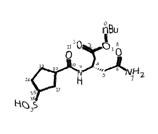 CCCCOC(=O)[C@H](CC(N)=O)NC(=O)C1CCC(S(=O)(=O)O)C1